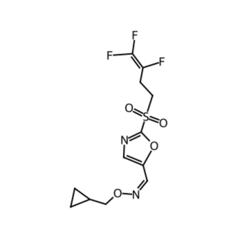 O=S(=O)(CCC(F)=C(F)F)c1ncc(/C=N\OCC2CC2)o1